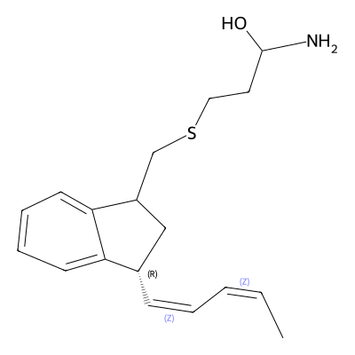 C/C=C\C=C/[C@H]1CC(CSCCC(N)O)c2ccccc21